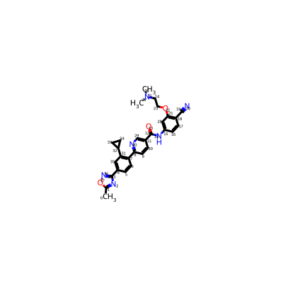 Cc1nc(-c2ccc(-c3ccc(C(=O)Nc4ccc(C#N)c(OCCN(C)C)c4)cn3)c(C3CC3)c2)no1